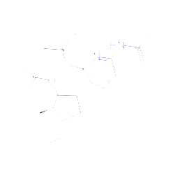 CC[C@H]1C[C@@H](c2ccc(NC(C)=O)nc2OC(C)=O)C(OC(C)=O)[C@@H]1C